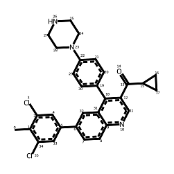 Cc1c(Cl)cc(-c2ccc3ncc(C(=O)C4CC4)c(-c4ccc(N5CCNCC5)cc4)c3c2)cc1Cl